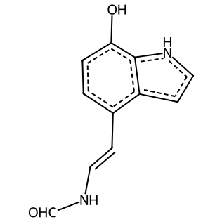 O=CNC=Cc1ccc(O)c2[nH]ccc12